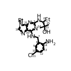 CCC(Nc1nc(NCc2cc(Cl)ccc2N)c2ncn(CC)c2n1)C(C)(C)O